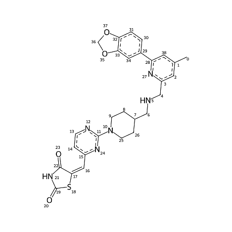 Cc1cc(CNCC2CCN(c3nccc(C=C4SC(=O)NC4=O)n3)CC2)nc(-c2ccc3c(c2)OCO3)c1